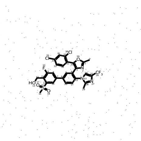 Cc1nc(-c2cc(-c3cc(F)c(CO)c(S(C)(=O)=O)c3)ccc2-n2cc(C(F)(F)F)nc2C)c(-c2ccc(Cl)cc2Cl)o1